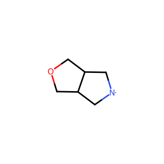 C1[N]CC2COCC12